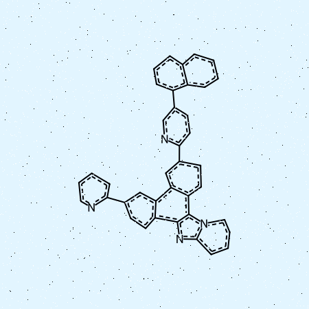 c1ccc(-c2ccc3c(c2)c2cc(-c4ccc(-c5cccc6ccccc56)cn4)ccc2c2c3nc3ccccn32)nc1